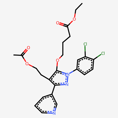 CCOC(=O)CCCOc1c(CCOC(C)=O)c(-c2cccnc2)nn1-c1ccc(Cl)c(Cl)c1